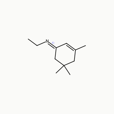 CC/N=C1/C=C(C)CC(C)(C)C1